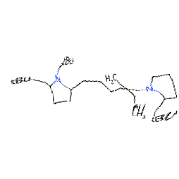 CC(C)(C)C1CCC(CCC(C)(C)N2CCCC2C(C)(C)C)N1C(C)(C)C